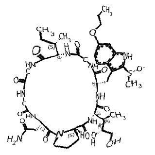 CCCOc1ccc2c(C[C@@H]3NC(=O)[C@H]([C@@H](C)[C@@H](O)CO)NC(=O)[C@@H]4CCCN4C(=O)[C@H](CC(N)=O)NC(=O)CNC(=O)CNC(=O)[C@H]([C@@H](C)CC)NC(=O)CNC3=O)c([S+](C)[O-])[nH]c2c1